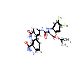 CC(C)OCC(Nc1ccc(F)c(F)c1)C(=O)Nc1ccc2c(=O)[nH]c3c(C(N)=O)cccc3c2c1